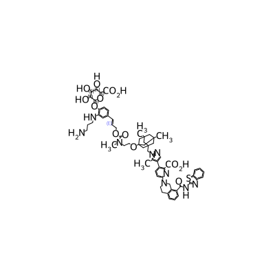 Cc1c(-c2ccc(N3CCc4cccc(C(=O)Nc5nc6ccccc6s5)c4C3)nc2C(=O)O)cnn1CC12CC3(C)CC(C)(C1)CC(OCCN(C)C(=O)OC/C=C/c1ccc(O[C@@H]4O[C@H](C(=O)O)[C@@H](O)[C@H](O)[C@H]4O)c(NCCCN)c1)(C3)C2